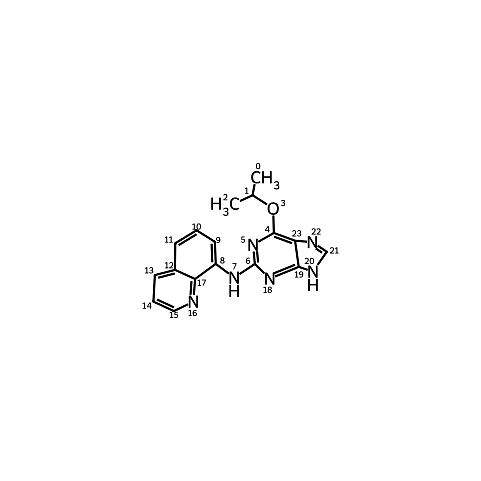 CC(C)Oc1nc(Nc2cccc3cccnc23)nc2[nH]cnc12